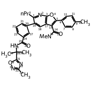 CCCc1nc2oc(-c3ccc(C)cc3)c(C(=O)NC)c2cc1-c1cccc(C(=O)NC(C)(C)c2nc(C)no2)c1